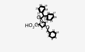 O=C(O)[C@@H]1C[C@@H](OCc2ccccc2)CN1C(=O)C(c1ccccc1)c1ccccc1